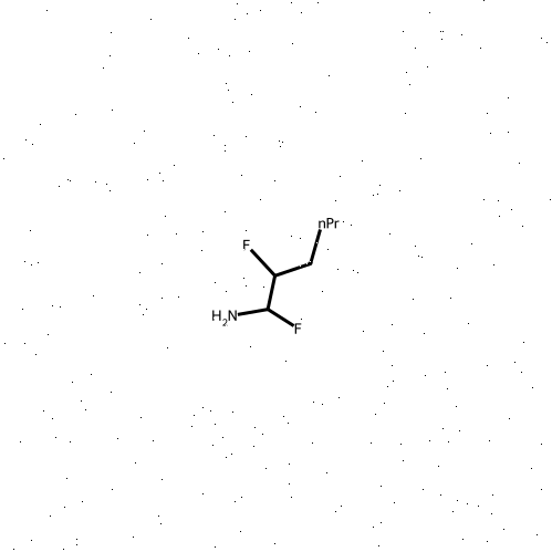 CCCCC(F)C(N)F